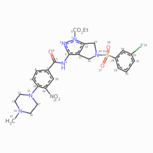 CCOC(=O)n1nc(NC(=O)c2ccc(N3CCN(C)CC3)c([N+](=O)[O-])c2)c2c1CN(S(=O)(=O)c1cccc(F)c1)C2